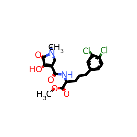 COC(=O)C(CCCc1ccc(Cl)c(Cl)c1)NC(=O)C1=C(O)C(=O)N(C)C1